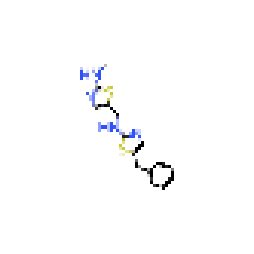 CNc1ncc(CNc2ncc(Cc3ccccc3)s2)s1